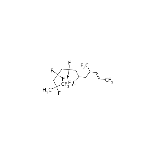 CC(F)(CC(F)(F)CC(F)(F)CC(CC(C=CC(F)(F)F)C(F)(F)F)C(F)(F)F)C(F)(F)F